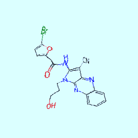 N#Cc1c(NC(=O)c2ccc(Br)o2)n(CCCO)c2nc3ccccc3nc12